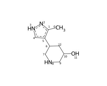 Cc1n[nH]cc1C1CNCC(O)C1